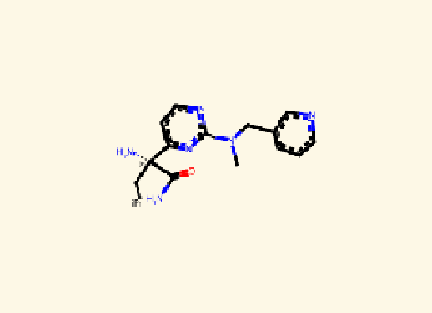 CC(C)C[C@](N)(C(N)=O)c1ccnc(N(C)Cc2cccnc2)n1